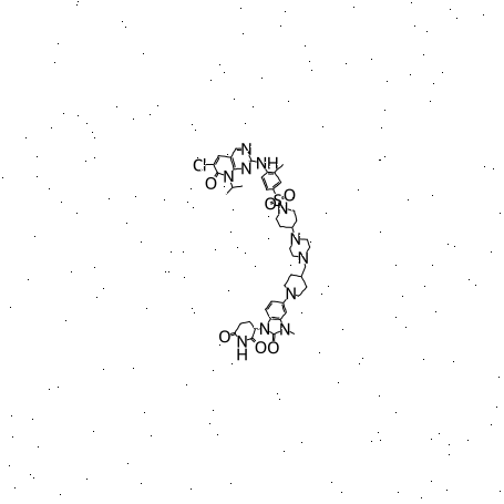 Cc1cc(S(=O)(=O)N2CCC(N3CCN(CC4CCN(c5ccc6c(c5)n(C)c(=O)n6C5CCC(=O)NC5=O)CC4)CC3)CC2)ccc1Nc1ncc2cc(Cl)c(=O)n(C(C)C)c2n1